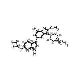 Cc1nc2c(F)cc(-c3c[nH]c4nc(CC5CCC5)ccc34)cc2n1C1CCN(C)CC1